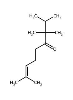 CC(C)=CCCC(=O)C(C)(C)C(C)C